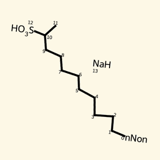 CCCCCCCCCCCCCCCCCCC(C)S(=O)(=O)O.[NaH]